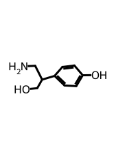 NCC(CO)c1ccc(O)cc1